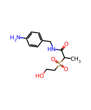 CC(C(=O)NCc1ccc(N)cc1)S(=O)(=O)CCO